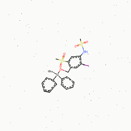 CC(C)(C)[Si](OCc1cc(I)c(NS(C)(=O)=O)cc1S(C)(=O)=O)(c1ccccc1)c1ccccc1